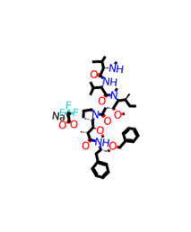 CC[C@H](C)[C@@H]([C@@H](CC(=O)N1CCC[C@H]1[C@H](OC)[C@@H](C)C(=O)N[C@H](COCc1ccccc1)Cc1ccccc1)OC)N(C)C(=O)[C@@H](NC(=O)[C@@H](NC)C(C)C)C(C)C.O=C([O-])C(F)(F)F.[Na+]